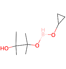 CC(C)(O)C(C)(C)OBOC1CC1